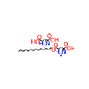 CCCCCCCCCCCCCCOC(=O)CC[C@H](N)C(=O)O.N[C@@H](CCC(=O)O)C(=O)O